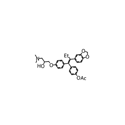 CCC(=C(c1ccc(OCC(O)CN(C)C)cc1)c1ccc(OC(C)=O)cc1)c1ccc2c(c1)OCO2